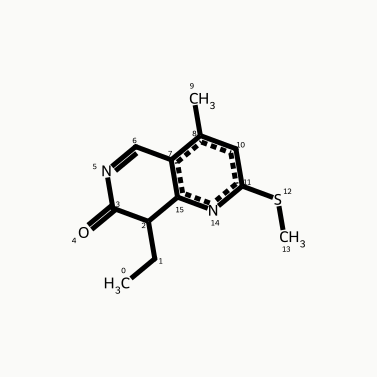 CCC1C(=O)N=Cc2c(C)cc(SC)nc21